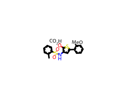 COc1ccccc1-c1cc(NS(=O)(=O)c2ccccc2C)c(OC(=O)O)s1